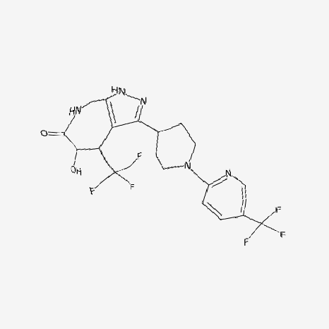 O=C1Nc2[nH]nc(C3CCN(c4ccc(C(F)(F)F)cn4)CC3)c2C(C(F)(F)F)C1O